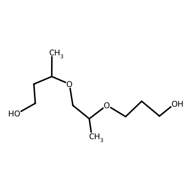 CC(CCO)OCC(C)OCCCO